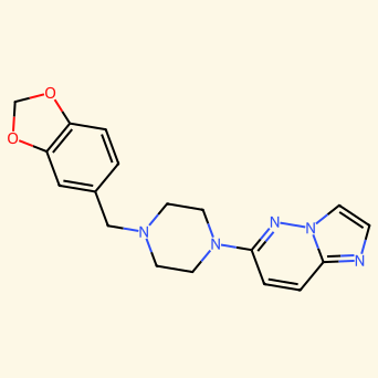 c1cn2nc(N3CCN(Cc4ccc5c(c4)OCO5)CC3)ccc2n1